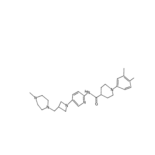 Cc1ccc(N2CCC(C(=O)Nc3ccc(N4CC(CN5CCN(C)CC5)C4)cn3)CC2)cc1C